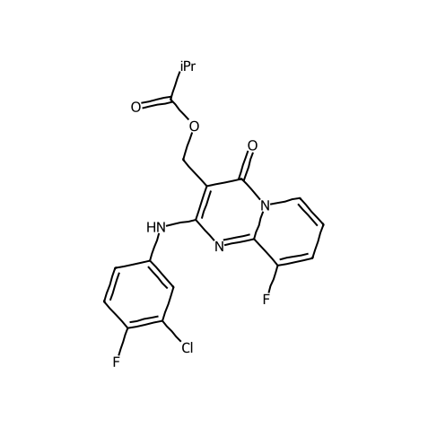 CC(C)C(=O)OCc1c(Nc2ccc(F)c(Cl)c2)nc2c(F)cccn2c1=O